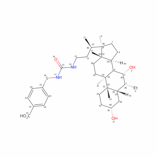 CC[C@H]1[C@@H](O)C2[C@@H]3CC[C@](C)([C@H](C)CCNC(=O)NSc4ccc(C(=O)O)cc4)[C@@]3(C)CC[C@]2(C)[C@@]2(C)CC[C@@H](O)C[C@@H]12